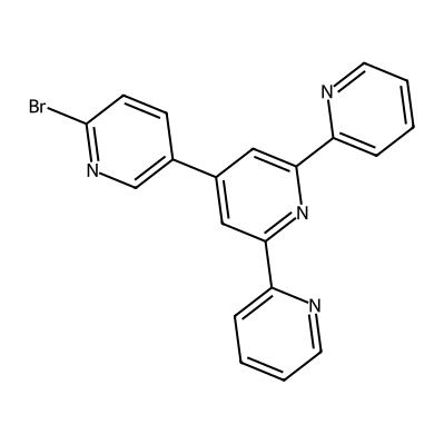 Brc1ccc(-c2cc(-c3ccccn3)nc(-c3ccccn3)c2)cn1